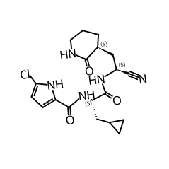 N#C[C@H](C[C@@H]1CCCNC1=O)NC(=O)[C@H](CC1CC1)NC(=O)c1ccc(Cl)[nH]1